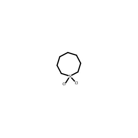 Cl[Si]1(Cl)CCCCCCC1